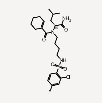 CC(C)C[C@@H](C(N)=O)N(CCCCNS(=O)(=O)c1ccc(F)cc1Cl)C(=O)C1=CCCCC1